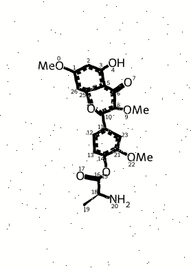 COc1cc(O)c2c(=O)c(OC)c(-c3ccc(OC(=O)[C@H](C)N)c(OC)c3)oc2c1